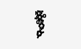 Cc1ccc(N2CCN(Cn3c(=O)c4c(ncn4C)n(C)c3=O)CC2)c(C)c1